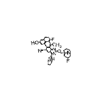 CCc1c(F)ccc2cc(O)cc(-c3c(C#N)cc4c(N5CC6CCC(C5)N6)nc(OC[C@@]56CCCN5C[C@H](F)C6)nc4c3F)c12